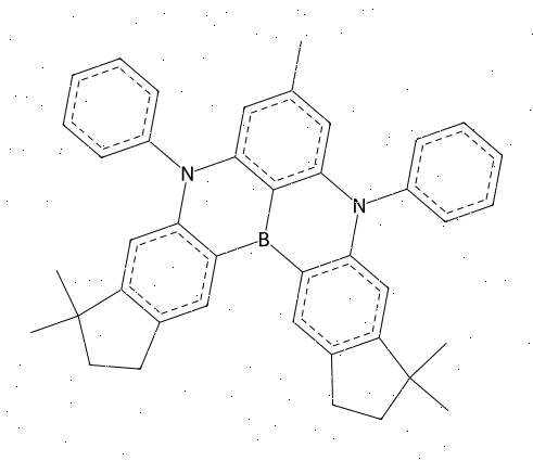 Cc1cc2c3c(c1)N(c1ccccc1)c1cc4c(cc1B3c1cc3c(cc1N2c1ccccc1)C(C)(C)CC3)CCC4(C)C